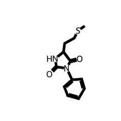 CSCCC1NC(=O)N(c2ccccc2)C1=O